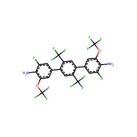 Nc1c(F)cc(-c2cc(C(F)(F)F)c(-c3cc(F)c(N)c(OC(F)(F)F)c3)cc2C(F)(F)F)cc1OC(F)(F)F